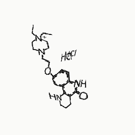 CC[N+]1(CC)CCN(CCOc2ccc3[nH]c(=O)c4c(c3c2)NCCC4)CC1.Cl.Cl